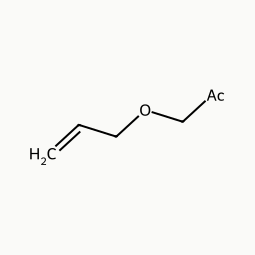 C=CCOCC(C)=O